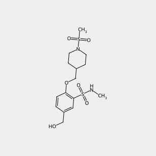 CNS(=O)(=O)c1cc(CO)ccc1OCC1CCN(S(C)(=O)=O)CC1